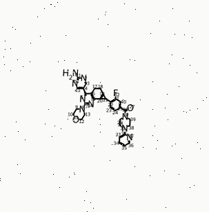 Nc1ncc(-c2nc(N3CCOCC3)nc3c2CCC2=C3C2c2ccc(C(=O)N3CCN(c4ccccn4)CC3)cc2F)cn1